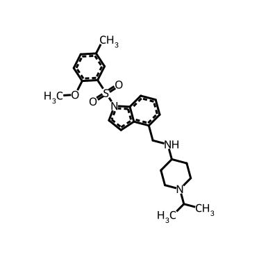 COc1ccc(C)cc1S(=O)(=O)n1ccc2c(CNC3CCN(C(C)C)CC3)cccc21